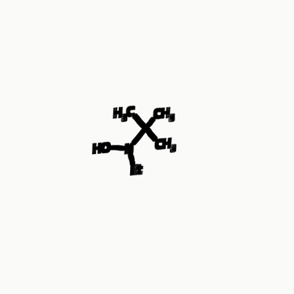 CCN(O)C(C)(C)C